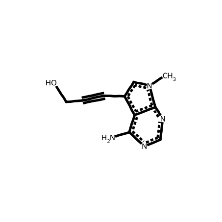 Cn1cc(C#CCO)c2c(N)ncnc21